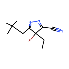 CCC1(Br)C(C#N)=NN=C1CC(C)(C)C